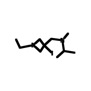 CCN1CC(I)(CN(C)C(C)C)C1